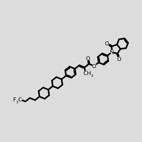 C/C(=C\c1ccc(C2CCC(C3CCC(CCCC(F)(F)F)CC3)CC2)cc1)C(=O)Oc1ccc(N2C(=O)C3CC=CCC3C2=O)cc1